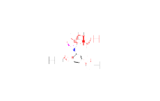 COc1ccc(OC)c(C2=NOC(C)(OC(=O)O)C2)c1